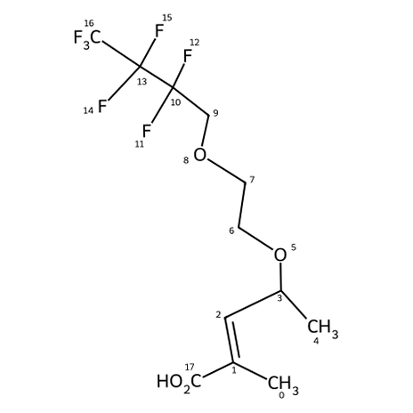 CC(=CC(C)OCCOCC(F)(F)C(F)(F)C(F)(F)F)C(=O)O